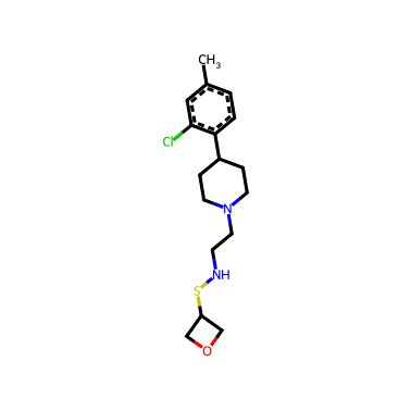 Cc1ccc(C2CCN(CCNSC3COC3)CC2)c(Cl)c1